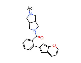 CC(=O)N1CC2CN(C(=O)c3ccccc3-c3cc4cccoc-4c3)CC2C1